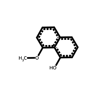 COc1cccc2cccc(O)c12